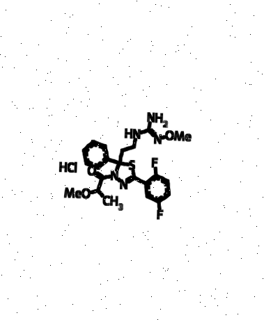 CON=C(N)NCCC1(c2ccccc2)SC(c2cc(F)ccc2F)=NN1C(=O)C(C)OC.Cl